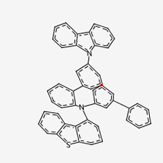 c1ccc(-c2cccc(N(c3ccccc3-c3cccc(-n4c5ccccc5c5ccccc54)c3)c3cccc4sc5ccccc5c34)c2)cc1